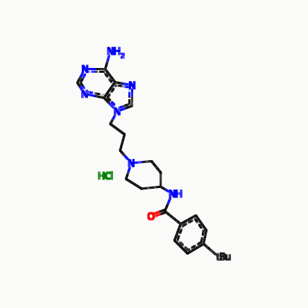 CC(C)(C)c1ccc(C(=O)NC2CCN(CCCn3cnc4c(N)ncnc43)CC2)cc1.Cl